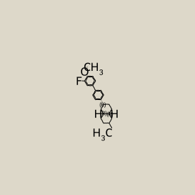 CCC1CC[C@@H]2C[C@H](c3ccc(-c4ccc(OC)c(F)c4)cc3)CC[C@@H]2C1